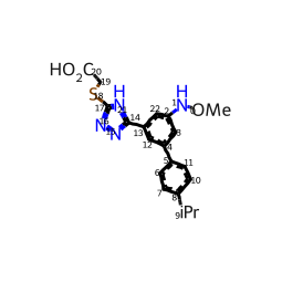 CONc1cc(-c2ccc(C(C)C)cc2)cc(-c2nnc(SCC(=O)O)[nH]2)c1